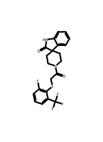 O=C(CSc1c(F)cccc1C(F)(F)F)N1CCC2(CC1)C(=O)Nc1ccccc12